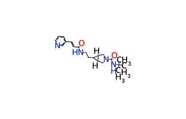 CC(C)(C)NC(=O)N1C[C@@H]2C(CCNC(=O)/C=C/c3cccnc3)[C@@H]2C1